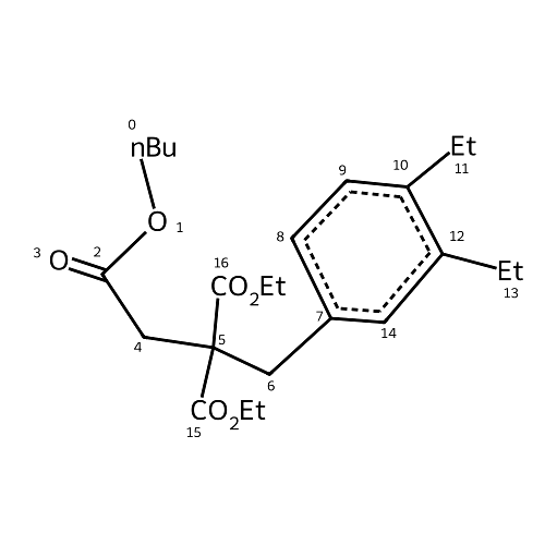 CCCCOC(=O)CC(Cc1ccc(CC)c(CC)c1)(C(=O)OCC)C(=O)OCC